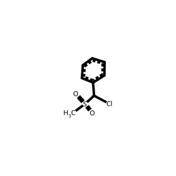 CS(=O)(=O)[C](Cl)c1ccccc1